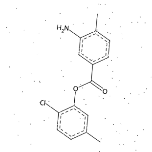 Cc1ccc(Cl)c(OC(=O)c2ccc(C)c(N)c2)c1